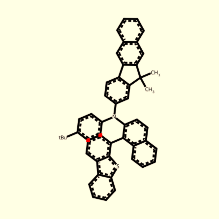 CC(C)(C)c1ccc(N(c2ccc3c(c2)C(C)(C)c2cc4ccccc4cc2-3)c2ccc3ccccc3c2-c2cccc3c2sc2ccccc23)cc1